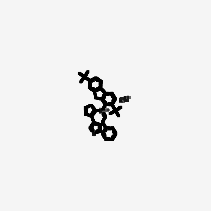 CC(C)(C)c1ccc2c(c1)Cc1c-2ccc(C(C)(C)C)[c]1[Zr+2](=[CH]Cc1ccccc1)[C]1=C(c2ccsc2)C=CC1.[Cl-].[Cl-]